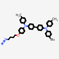 CCC(C)c1ccc(N(c2ccc(C)cc2)c2ccc(-c3ccc(N(c4ccc(C)cc4)c4ccc(OCCCCN=[N+]=[N-])cc4)cc3)cc2)cc1